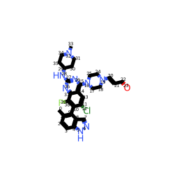 Cc1ccc2[nH]ncc2c1-c1c(Cl)cc2c(N3CCN(C=CC=O)CC3)nc(NC3CCN(C)CC3)nc2c1F